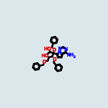 CC(O)[C@](OCc1ccccc1)(c1ccc2c(N)ncnn12)[C@H](OCc1ccccc1)[C@H](O)COCc1ccccc1